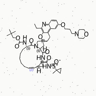 CCc1nc2ccc(OCCCN3CCOCC3)cc2c2c1O[C@]1(CC2)C[C@H]2C(=O)N[C@]3(C(=O)N[S@+]([O-])C4(C)CC4)C[C@H]3/C=C\CCCCC[C@H](NC(=O)OCC(C)(C)C)C(=O)N2C1